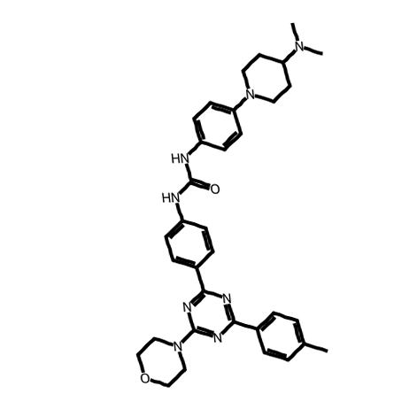 Cc1ccc(-c2nc(-c3ccc(NC(=O)Nc4ccc(N5CCC(N(C)C)CC5)cc4)cc3)nc(N3CCOCC3)n2)cc1